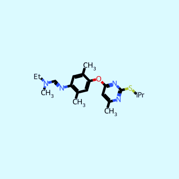 CCN(C)C=Nc1cc(C)c(Oc2cc(C)nc(SC(C)C)n2)cc1C